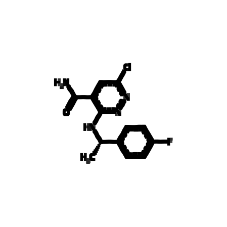 C[C@H](Nc1nnc(Cl)cc1C(N)=O)c1ccc(F)cc1